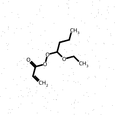 C=CC(=O)OOC(CCC)OCC